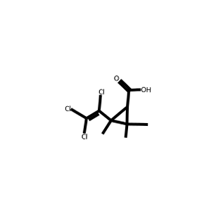 CC1(C)C(C(=O)O)C1(C)C(Cl)=C(Cl)Cl